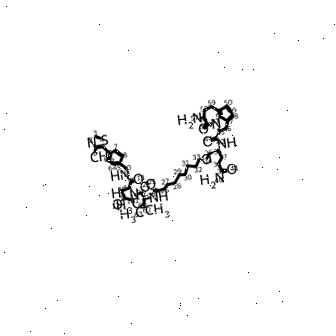 Cc1ncsc1-c1ccc(CNC(=O)C2C[C@@H](O)CN2C(=O)[C@@H](NC(=O)CCCCCCCCOC[C@H](CCC(N)=O)NC(=O)[C@@H]2Cc3cccc4c3N2C(=O)[C@@H](N)CC4)C(C)(C)C)cc1